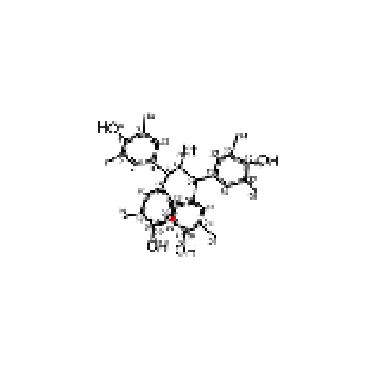 CCC(C(c1cc(C)c(O)c(C)c1)c1cc(C)c(O)c(C)c1)C(c1cc(C)c(O)c(C)c1)c1cc(C)c(O)c(C)c1